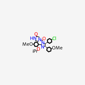 COc1cccc([C@H]2N=C(c3ccc(OC)cc3OC(C)C)N(C(=O)N3CCNC(=O)C3)[C@H]2c2ccc(Cl)cc2)c1